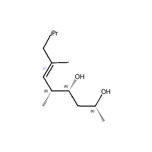 C/C(=C\[C@@H](C)[C@H](O)C[C@@H](C)O)CC(C)C